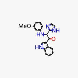 COc1cccc(NC(C(=O)c2c[nH]c3ccccc23)c2ncc[nH]2)c1